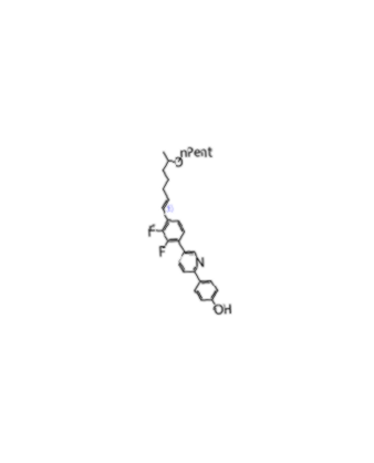 CCCCCOC(C)CCC/C=C/c1ccc(-c2ccc(-c3ccc(O)cc3)nc2)c(F)c1F